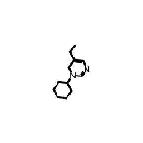 CCC1=CN=CN(C2CCCCC2)C1